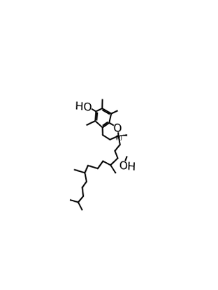 CO.Cc1c(C)c2c(c(C)c1O)CC[C@@](C)(CCCC(C)CCCC(C)CCCC(C)C)O2